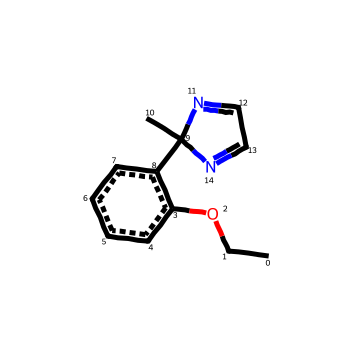 CCOc1ccccc1C1(C)N=CC=N1